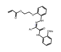 C=CC(=O)OCCOc1ccccc1N/N=C(/C(C)=O)C(=O)Nc1ccccc1OC